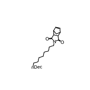 CCCCCCCCCCCCCCCCCCN1C(=O)C2C3C=CC(C3)C2C1=O